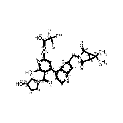 Cc1nc(C#N)cc(-c2ccnc3cc(CN4C(=O)C5C(C4=O)C5(C)C)sc23)c1C(=O)N1CC[C@@H](O)C1.O=C(O)C(F)(F)F